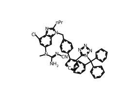 CCCc1nc2c(Cl)cc(N(C)C(N)=NC#N)cc2n1Cc1ccc(-c2ccccc2-c2nnnn2C(c2ccccc2)(c2ccccc2)c2ccccc2)cc1